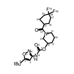 CC(C)(C)c1cc(NC(=O)OC2CCCN(C(=O)C3CCC(F)(F)CC3)C2)no1